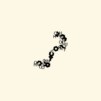 O=C1CCC(N2C(=O)c3cccc(NCC4CC5(CCN(C[C@H]6CC[C@H](n7cc(NC(=O)n8ccc9ccc(N%10C[C@H]%11C[C@@H]%10CO%11)nc98)c(C(F)F)n7)CC6)CC5)C4)c3C2=O)C(=O)N1